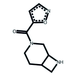 O=C(c1ccno1)N1CCC2CNC2C1